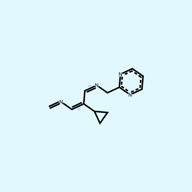 C=N/C=C(\C=N/Cc1ncccn1)C1CC1